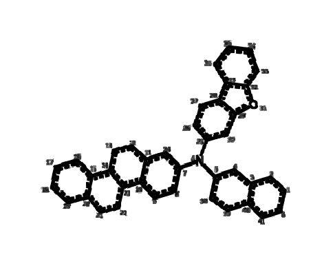 c1ccc2cc(N(c3ccc4c(ccc5c6ccccc6ccc45)c3)c3ccc4c(c3)oc3ccccc34)ccc2c1